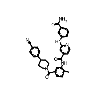 Cc1ccc(C(=O)N2CCC(c3ccc(C#N)cc3)CC2)cc1NC(=O)c1ccnc(Nc2cccc(C(N)=O)c2)c1